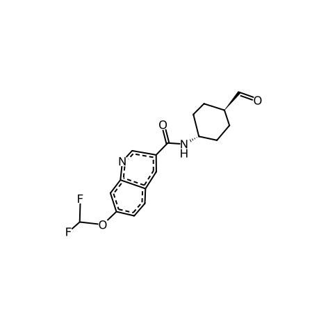 O=C[C@H]1CC[C@H](NC(=O)c2cnc3cc(OC(F)F)ccc3c2)CC1